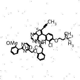 CC#Cc1sc2ncnc(N[C@H](Cc3ccccc3OCc3ccnc(-c4ccccc4OC)n3)C(=O)O)c2c1-c1ccc(OCCN(C)C)c(Cl)c1C